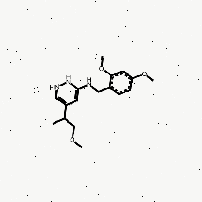 COCC(C)C1=CNNC(NCc2ccc(OC)cc2OC)=C1